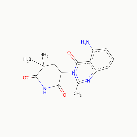 BC1(B)CC(n2c(C)nc3cccc(N)c3c2=O)C(=O)NC1=O